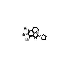 Brc1c(Br)c2c3c(nc(N4CCCC4)n3CCC2)c1Br